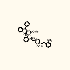 COC(=O)N[C@H](C(=O)Nc1ccccc1CC[C@@]1(C(C)(C)C)CN(C(=O)O)[C@H](CCc2ccccc2N)CO1)C(c1ccccc1)c1ccccc1